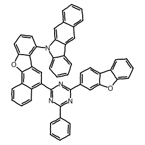 c1ccc(-c2nc(-c3ccc4c(c3)oc3ccccc34)nc(-c3cc4c(oc5cccc(-n6c7ccccc7c7cc8ccccc8cc76)c54)c4ccccc34)n2)cc1